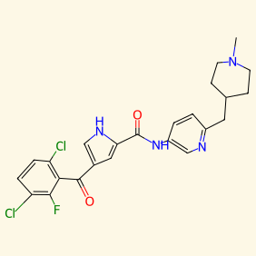 CN1CCC(Cc2ccc(NC(=O)c3cc(C(=O)c4c(Cl)ccc(Cl)c4F)c[nH]3)cn2)CC1